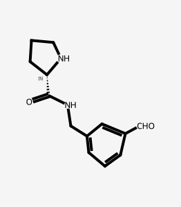 O=Cc1cccc(CNC(=O)[C@@H]2CCCN2)c1